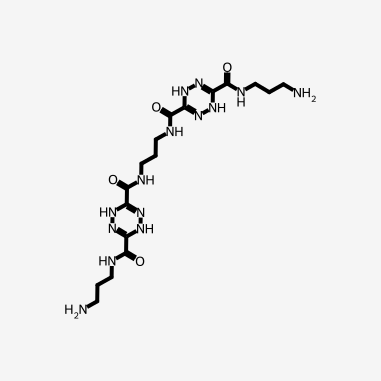 NCCCNC(=O)C1=NNC(C(=O)NCCCNC(=O)C2=NNC(C(=O)NCCCN)=NN2)=NN1